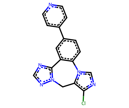 Clc1ncn2c1Cn1ncnc1-c1cc(-c3ccncc3)ccc1-2